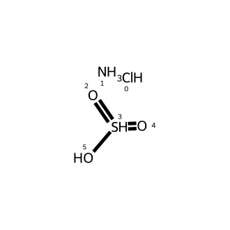 Cl.N.O=[SH](=O)O